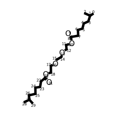 CC(C)CCCCCC(=O)OCCOCCOCCOC(=O)CCCCCC(C)C